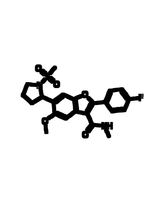 CNC(=O)c1c(-c2ccc(F)cc2)oc2cc(C3CCCN3S(C)(=O)=O)c(OC)cc12